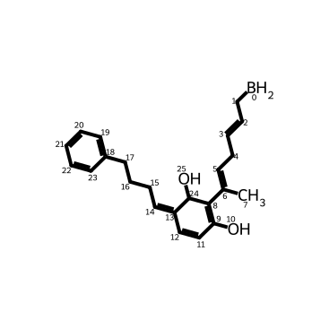 BCC=CCC=C(C)C1=C(O)C=CC(=CCCCc2ccccc2)C1O